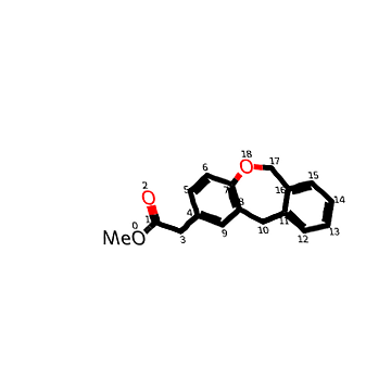 COC(=O)Cc1ccc2c(c1)Cc1ccccc1CO2